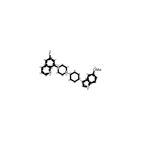 COc1ccc2occ([C@H]3CC[C@@H](N4CCN(c5cc(F)cc6cccnc56)CC4)CC3)c2c1